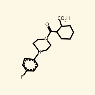 O=C(O)C1CCCCC1C(=O)N1CCN(c2ccc(F)cc2)CC1